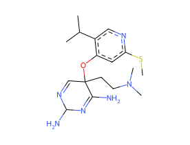 CSc1cc(OC2(CCN(C)C)C=NC(N)N=C2N)c(C(C)C)cn1